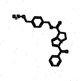 O=C(c1ccccc1)c1ccc2n1CCC2C(=O)OCc1ccc(CO[N+](=O)[O-])cc1